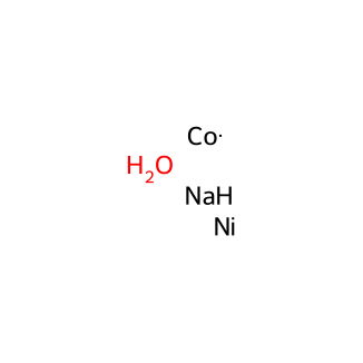 O.[Co].[NaH].[Ni]